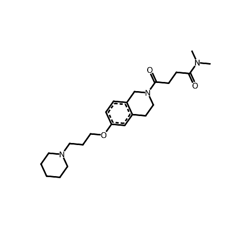 CN(C)C(=O)CCC(=O)N1CCc2cc(OCCCN3CCCCC3)ccc2C1